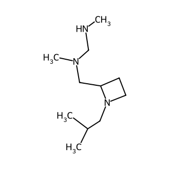 CNCN(C)CC1CCN1CC(C)C